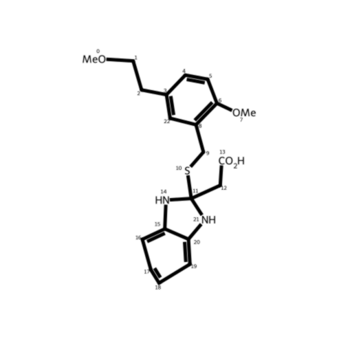 COCCc1ccc(OC)c(CSC2(CC(=O)O)Nc3ccccc3N2)c1